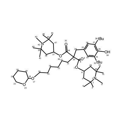 CN1C(C)(C)CC(OC(=O)C(CCCCCCOC2CCCCO2)(Cc2cc(C(C)(C)C)c(O)c(C(C)(C)C)c2)C(=O)OC2CC(C)(C)N(C)C(C)(C)C2)CC1(C)C